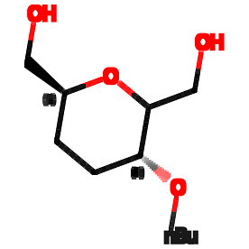 CCCCO[C@@H]1CC[C@@H](CO)OC1CO